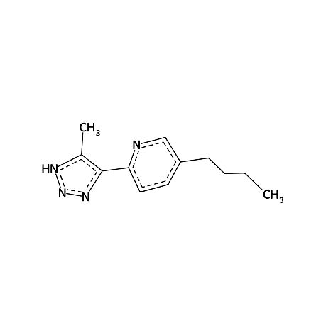 CCCCc1ccc(-c2nn[nH]c2C)nc1